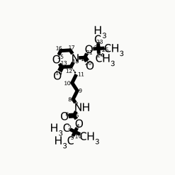 CC(C)(C)OC(=O)NCCCC[C@@H]1C(=O)OCCN1C(=O)OC(C)(C)C